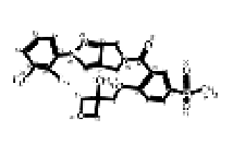 CC1(COc2ccc(S(C)(=O)=O)cc2C(=O)N2Cc3cn(-c4cccc(C(F)(F)F)c4F)nc3C2)COC1